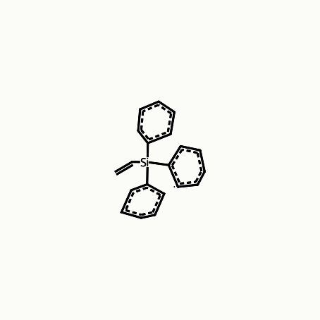 C=C[Si](c1[c]cccc1)(c1ccccc1)c1ccccc1